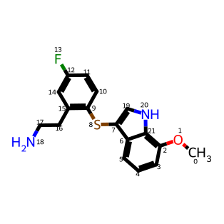 COc1cccc2c(Sc3ccc(F)cc3CCN)c[nH]c12